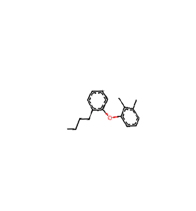 CCCCc1cc[c]cc1Oc1cccc(C)c1C